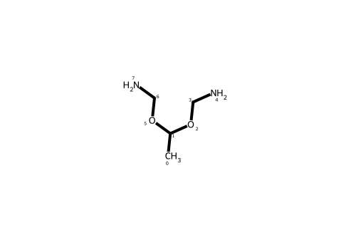 CC(OCN)OCN